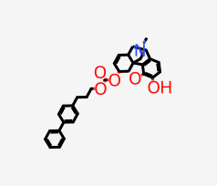 CN1CCC23c4c5ccc(O)c4OC2C(OC(=O)OCCCc2ccc(-c4ccccc4)cc2)C=CC3C1C5